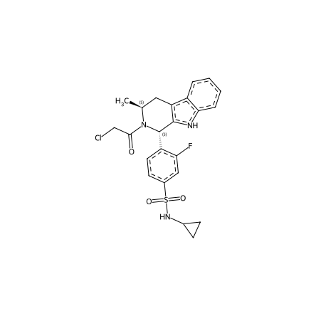 C[C@H]1Cc2c([nH]c3ccccc23)[C@H](c2ccc(S(=O)(=O)NC3CC3)cc2F)N1C(=O)CCl